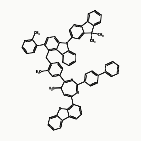 C=C1C=C(c2cccc3c2oc2ccccc23)N=C(c2ccc(-c3ccccc3)cc2)N=C1c1ccc(Cc2c(-c3ccccc3C)ccc3c2c2ccccc2n3-c2ccc3c(c2)C(C)(C)c2ccccc2-3)c(C)c1